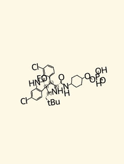 CC(C)(C)C[C@H]1N[C@@H](C(=O)NC2CCC(OO[PH](=O)O)CC2)[C@H](c2cccc(Cl)c2F)[C@@]12C(=O)Nc1cc(Cl)ccc12